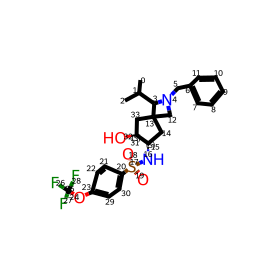 CC(C)C1N(Cc2ccccc2)CC12C[C@H](NS(=O)(=O)c1ccc(OC(F)(F)F)cc1)[C@@H](O)C2